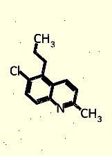 CCCc1c(Cl)ccc2nc(C)ccc12